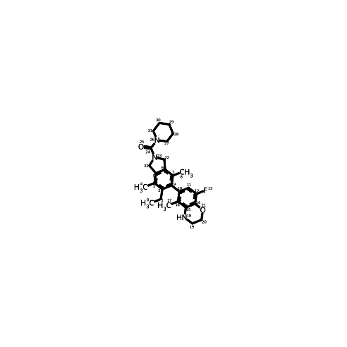 CCc1c(C)c2c(c(C)c1-c1cc(F)c3c(c1C)NCCO3)CN(C(=O)N1CCCCC1)C2